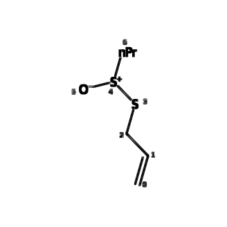 C=CCS[S+]([O-])CCC